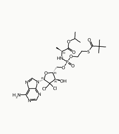 CC(C)OC(=O)[C@H](C)NP(=O)(OCCSC(=O)C(C)(C)C)OC[C@H]1O[C@@H](n2cnc3c(N)ncnc32)C(Cl)(Cl)[C@@H]1O